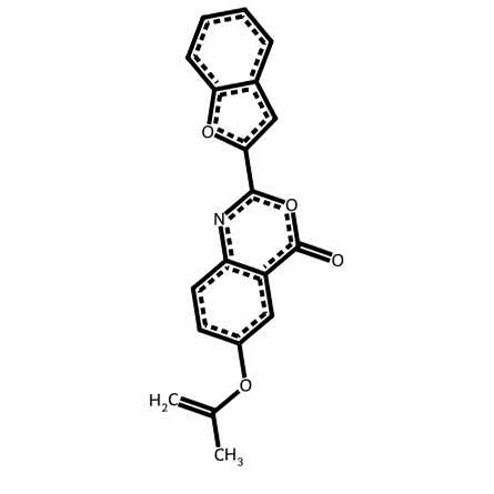 C=C(C)Oc1ccc2nc(-c3cc4ccccc4o3)oc(=O)c2c1